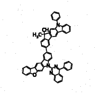 CC1(C)c2ccc(-c3ccc4c(c3)c3cc5c(cc3n4-c3nc(-c4ccccc4)c4ccccc4n3)oc3ccccc35)cc2-c2cc3c4ccccc4n(-c4ccccc4)c3cc21